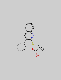 O=C(O)C1(CSc2nc3ccccc3cc2-c2ccccc2)CC1